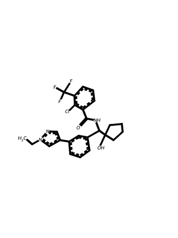 CCn1cc(-c2cccc(C(NC(=O)c3cccc(C(F)(F)F)c3Cl)C3(O)CCCC3)c2)cn1